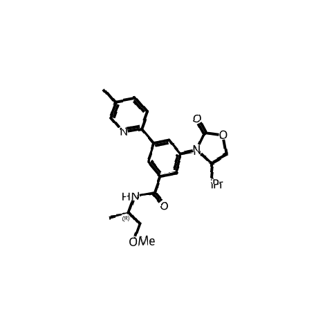 COC[C@@H](C)NC(=O)c1cc(-c2ccc(C)cn2)cc(N2C(=O)OCC2C(C)C)c1